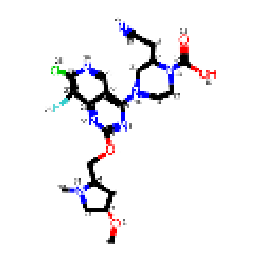 CO[C@@H]1CC(COc2nc(N3CCN(C(=O)O)C(CC#N)C3)c3cnc(Cl)c(F)c3n2)N(C)C1